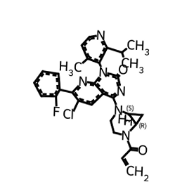 C=CC(=O)N1CCN(c2nc(=O)n(-c3c(C)ccnc3C(C)C)c3nc(-c4ccccc4F)c(Cl)cc23)[C@H]2C[C@H]21